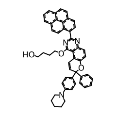 OCCCCOc1nc(-c2ccc3ccc4cccc5ccc2c3c45)nc2ccc3c(c12)C=CC(c1ccccc1)(c1ccc(N2CCCCC2)cc1)O3